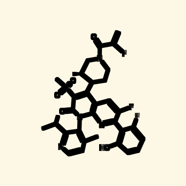 C=C(F)C(=O)N1CCC(c2c(S(C)(=O)=O)c(=O)n(-c3c(C)ccnc3C(C)C)c3nc(-c4c(O)cccc4F)c(F)cc23)[C@@H](C)C1